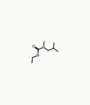 CC[N]C(=O)N(C)CC(C)C